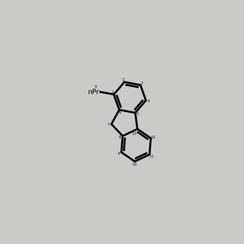 [CH2]CCc1cccc2c1Cc1ccccc1-2